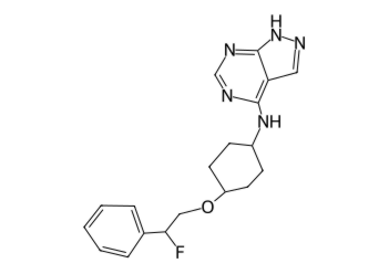 FC(COC1CCC(Nc2ncnc3[nH]ncc23)CC1)c1ccccc1